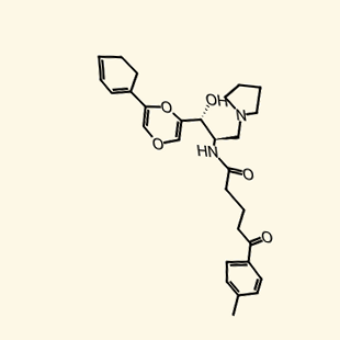 Cc1ccc(C(=O)CCCC(=O)N[C@H](CN2CCCC2)[C@@H](O)C2=COC=C(C3=CC=CCC3)O2)cc1